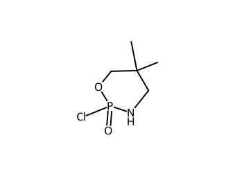 CC1(C)CNP(=O)(Cl)OC1